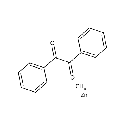 C.O=C(C(=O)c1ccccc1)c1ccccc1.[Zn]